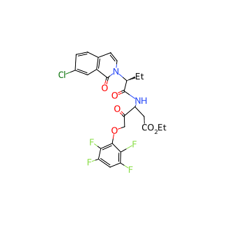 CCOC(=O)CC(NC(=O)[C@H](CC)n1ccc2ccc(Cl)cc2c1=O)C(=O)COc1c(F)c(F)cc(F)c1F